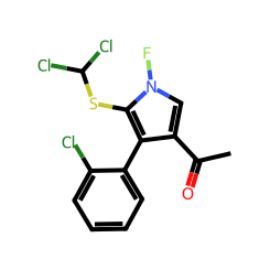 CC(=O)c1cn(F)c(SC(Cl)Cl)c1-c1ccccc1Cl